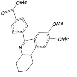 COC(=O)c1ccc(C2=NC3CCCCC3c3cc(OC)c(OC)cc32)cc1